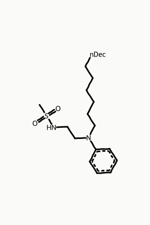 CCCCCCCCCCCCCCCCN(CCNS(C)(=O)=O)c1ccccc1